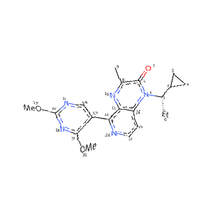 CC[C@@H](C1CC1)n1c(=O)c(C)nc2c(-c3cnc(OC)nc3OC)nccc21